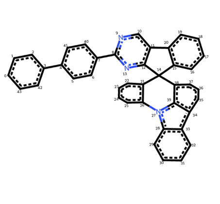 c1ccc(-c2ccc(-c3ncc4c(n3)C3(c5ccccc5-4)c4ccccc4-n4c5ccccc5c5cccc3c54)cc2)cc1